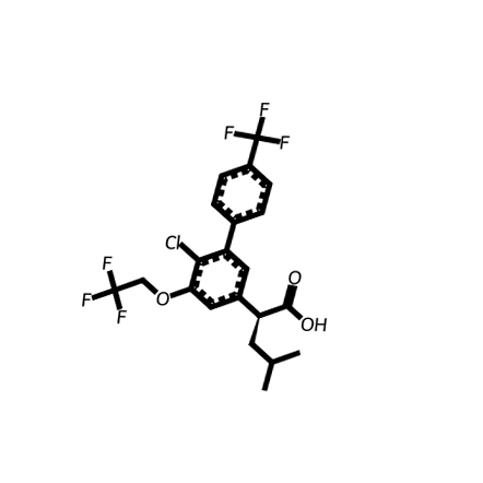 CC(C)C[C@H](C(=O)O)c1cc(OCC(F)(F)F)c(Cl)c(-c2ccc(C(F)(F)F)cc2)c1